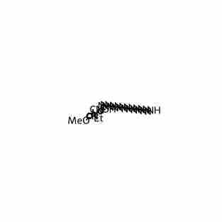 CCn1c(-c2ccc(O)c(\N=N/N=N/N=N/N=N/N=N/N=N/N=N/N=N/N=N/N=N/N=N)c2)c(C#N)c2ccc(OC)cc21